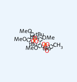 COc1cc(-c2cc(OC)cc(C(C)(C)C)c2Op2oc3c(C(C)(C)C)cc(OC)cc3c3cc(OC)cc(C(C)(C)C)c3o2)c(OP2OC(=O)c3ccc(C)cc3O2)c(C(C)(C)C)c1